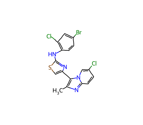 Cc1nc2ccc(Cl)cn2c1-c1csc(Nc2ccc(Br)cc2Cl)n1